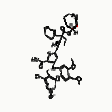 CCC(NCc1cc([C@@H](Cc2c(Cl)c[n+]([O-])cc2Cl)c2ccc(OC)c(OC)c2)c(C(=O)O)s1)(C(=O)O[C@H]1CN2CCC1CC2)c1ccccc1